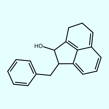 OC1C2=c3c(cccc3=CCC2)C1Cc1ccccc1